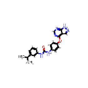 CC(C)c1cccc(NC(=O)Nc2ccc(Oc3ncnc4[nH]ncc34)cc2)c1